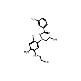 Nc1cc([N+](=O)[O-])c(N(CCO)NC(=O)c2cccc([N+](=O)[O-])c2)cc1NCCO